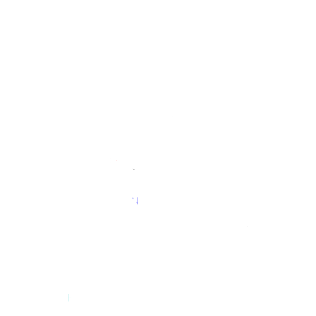 O=C1C(CCCc2ccccc2)C(c2ccccc2)N1c1ccc(F)cc1